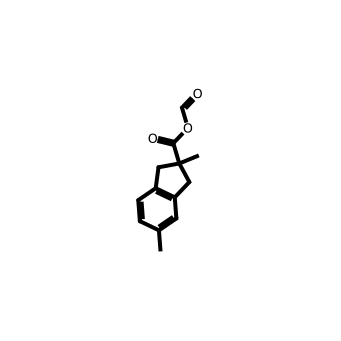 Cc1ccc2c(c1)CC(C)(C(=O)OC=O)C2